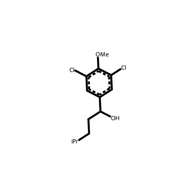 COc1c(Cl)cc(C(O)CCC(C)C)cc1Cl